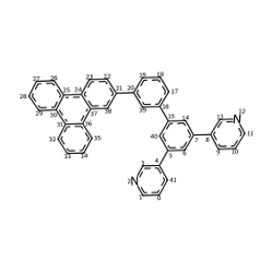 c1cncc(-c2cc(-c3cccnc3)cc(-c3cccc(-c4ccc5c6ccccc6c6ccccc6c5c4)c3)c2)c1